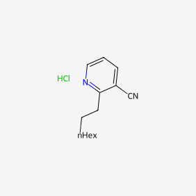 CCCCCCCCc1ncccc1C#N.Cl